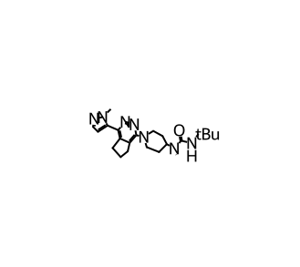 CN(C(=O)NC(C)(C)C)C1CCN(c2nnc(-c3ccnn3C)c3c2CCC3)CC1